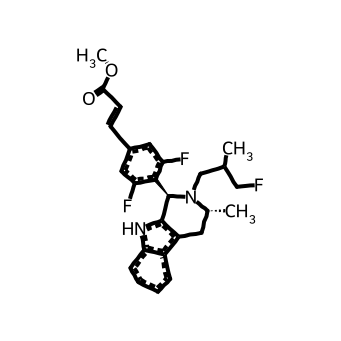 COC(=O)C=Cc1cc(F)c([C@@H]2c3[nH]c4ccccc4c3C[C@@H](C)N2CC(C)CF)c(F)c1